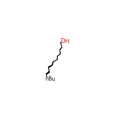 CCCC/C=C/C=C/CCCCCCCO